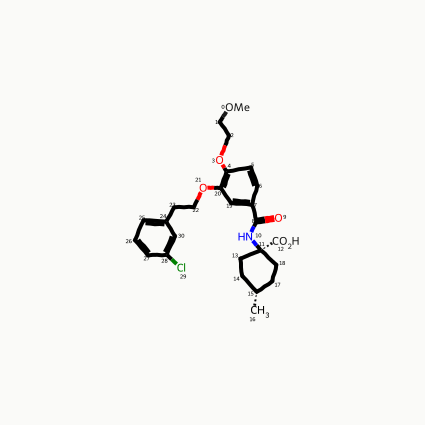 COCCOc1ccc(C(=O)N[C@]2(C(=O)O)CC[C@@H](C)CC2)cc1OCCc1cccc(Cl)c1